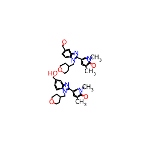 Cc1cc(-c2nc3cc(C=O)ccc3n2CC2CCOCC2)cn(C)c1=O.Cc1cc(-c2nc3cc(CO)ccc3n2CC2CCOCC2)cn(C)c1=O